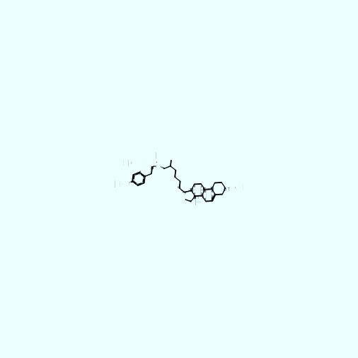 CC(CCC[C@@H](C)[C@H]1CC[C@H]2[C@@H]3CC=C4C[C@@H](O)CC[C@]4(C)[C@H]3CC[C@]12C)CN[C@@H](Cc1ccc(O)cc1)C(=O)O